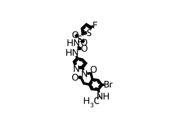 CNc1cc2c(cc1Br)C(=O)N(c1ccc(NC(=O)NS(=O)(=O)c3ccc(F)s3)cn1)C(=O)C2